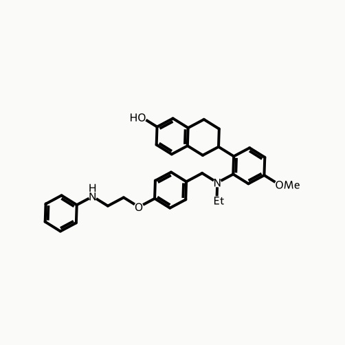 CCN(Cc1ccc(OCCNc2ccccc2)cc1)c1cc(OC)ccc1C1CCc2cc(O)ccc2C1